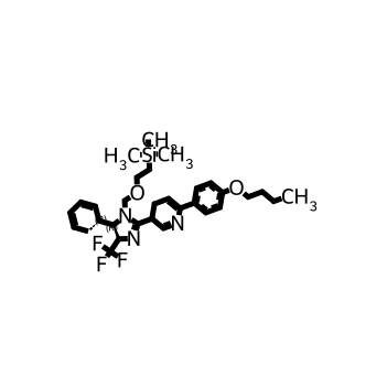 CCCCOc1ccc(C2=CCC(C3=NC(C(F)(F)F)[C@@H]([C@H]4C=CC=CC4)N3COCC[Si](C)(C)C)C=N2)cc1